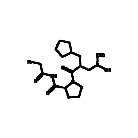 CC(C)CC(=O)NC(=O)[C@@H]1CCCN1C(=O)C(CC1CCCC1)CN(O)C=O